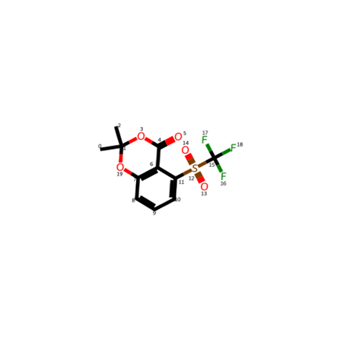 CC1(C)OC(=O)c2c(cccc2S(=O)(=O)C(F)(F)F)O1